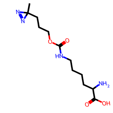 CC1(CCCOC(=O)NCCCCC(N)C(=O)O)N=N1